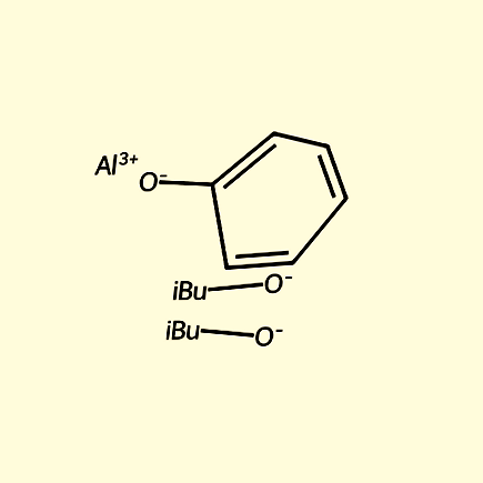 CCC(C)[O-].CCC(C)[O-].[Al+3].[O-]c1ccccc1